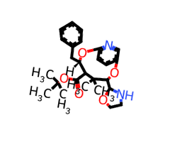 CC(C)(C)OC(=O)C1[C@H](Cc2ccccc2)Oc2ccc(cn2)OC(C2NCCO2)C1(C)C